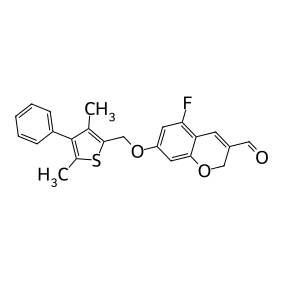 Cc1sc(COc2cc(F)c3c(c2)OCC(C=O)=C3)c(C)c1-c1ccccc1